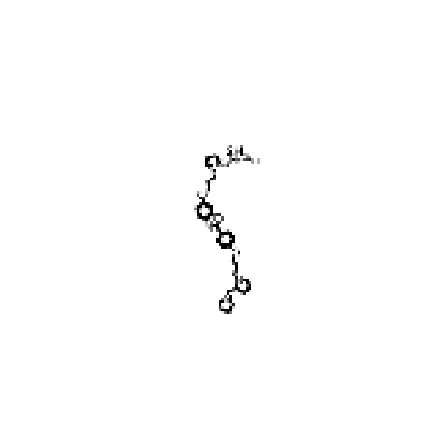 CCCCN(C)C[C@@H]1CCCN1CCCOc1ccc2nc(-c3ccc(OCCCN4CCC[C@H]4CN4CCCC4)cc3)oc2c1